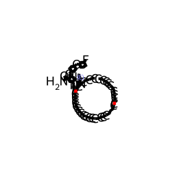 C/C=C/C(=O)N1CCCCCCCCCCCCCCCCCCCCCCCCCCCCCCCCCCCCCCCC2(CCN(c3cnc(Oc4ccc(Oc5cccc(F)c5)cc4)c(C(N)=O)c3)C2)C1